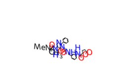 CN[C@@H](C)C(=O)Nc1cnc(-c2ccccc2)n(CC(=O)NCc2cccc(NC(=O)C3CCC(=O)O3)c2)c1=O